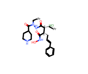 CC(C)C[C@@H](C(=O)NN(CC(C)C)C(=O)C1CCNCC1)[C@H](CC=Cc1ccccc1)C(=O)NO.Cl